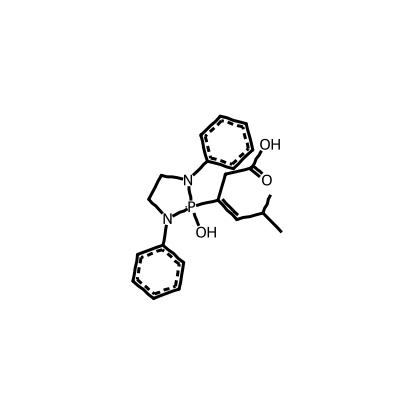 CC(C)/C=C(\CC(=O)O)[P]1(O)N(c2ccccc2)CCN1c1ccccc1